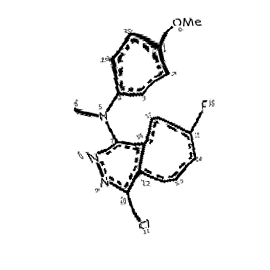 COc1ccc(N(C)c2nnc(Cl)c3ccc(F)cc23)cc1